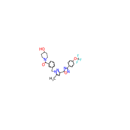 Cc1cc(-c2nc(-c3ccc(OC(F)(F)F)cc3)no2)nn1Cc1cccc(C(=O)N2CCC(O)CC2)c1